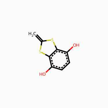 C=C1Sc2c(O)ccc(O)c2S1